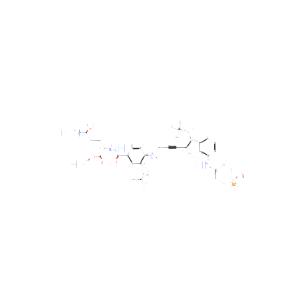 COC(=O)C(CCC(N)=O)NC(=O)c1ccc(NCC#Cc2sc3c(NC4CCS(=O)(=O)CC4)cccc3c2CC(F)(F)F)c(OC(F)F)c1